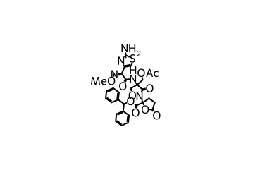 CO/N=C(\C(=O)NC1(COC(C)=O)CON(C2(C(=O)OC(c3ccccc3)c3ccccc3)CCC(=O)O2)C1=O)c1csc(N)n1